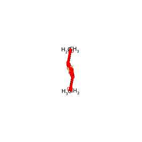 C=C(C)C(=O)OCCCCCCCCCCCOc1ccc(C(=O)Oc2cc(F)c(OC(=O)c3ccc(OCCCCCCCCCCCOC(=O)C(=C)C)cc3)c(F)c2F)cc1